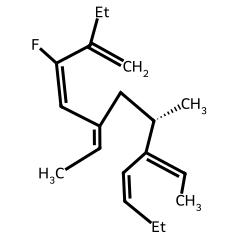 C=C(CC)/C(F)=C\C(=C/C)C[C@H](C)C(/C=C\CC)=C/C